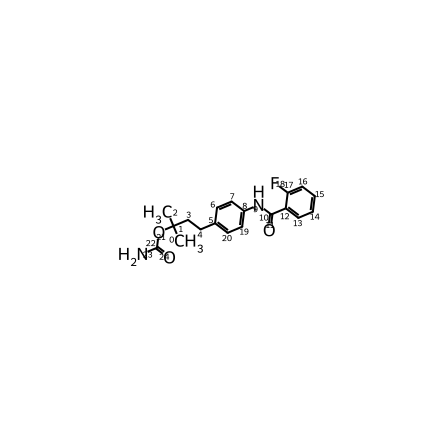 CC(C)(CCc1ccc(NC(=O)c2ccccc2F)cc1)OC(N)=O